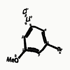 COc1cccc(Br)c1.[Cl-].[Li+]